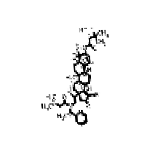 CC(C)C1=C2[C@H]3CC[C@@H]4[C@@]5(C)CC[C@H](OC(=O)CC(C)(C)C(=O)O)C(C)(C)[C@@H]5CC[C@@]4(C)[C@]3(C)CCC2(C(O)CN(C(=O)CN(C)C)[C@H](C)c2ccccn2)CC1=O